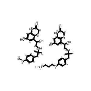 CC(C)(Cc1ccc(OCCCC(=O)O)cc1)NCC(O)c1cc(O)cc2c1OCC(=O)N2.CCOc1ccc(CC(C)(C)NCC(O)c2cc(O)cc3c2OCC(=O)N3)cc1